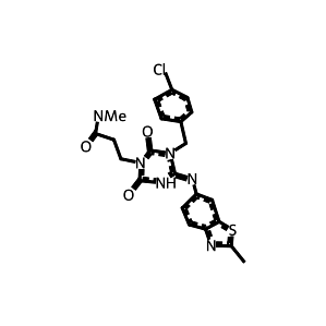 CNC(=O)CCn1c(=O)[nH]/c(=N\c2ccc3nc(C)sc3c2)n(Cc2ccc(Cl)cc2)c1=O